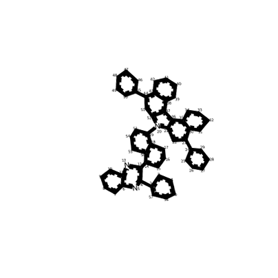 c1ccc(-c2nc3ccccc3nc2-c2cccc3c(-n4c5cc(-c6ccccc6)c6ccccc6c5c5c6ccccc6c(-c6ccccc6)cc54)cccc23)cc1